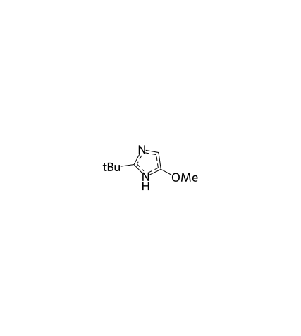 COc1cnc(C(C)(C)C)[nH]1